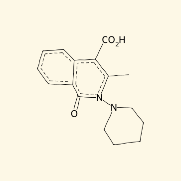 Cc1c(C(=O)O)c2ccccc2c(=O)n1N1CCCCC1